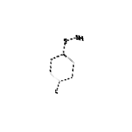 SSC1CCC(Cl)CC1